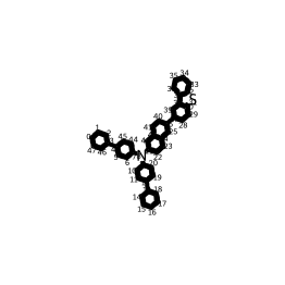 c1ccc(-c2ccc(N(c3ccc(-c4ccccc4)cc3)c3ccc4cc(-c5ccc6sc7ccccc7c6c5)ccc4c3)cc2)cc1